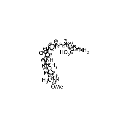 COCCn1ncc(-c2ccc(-c3cnc(C(=O)Nc4ccc(C(=O)N5CCN(C(=O)CCCC(=O)N6CC[N+](CCCN)(CC(=O)O)CC6)CC5)c(Cl)c4)n3C)c(F)c2F)c1C